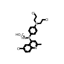 Cc1cc(N(NC(=O)O)c2ccc(N(CCCl)CCCl)cc2)c2cc(Cl)ccc2n1